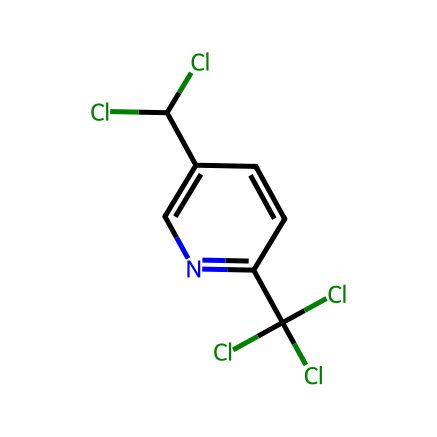 ClC(Cl)c1ccc(C(Cl)(Cl)Cl)nc1